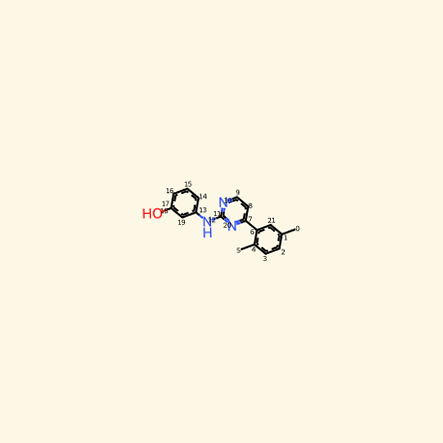 Cc1ccc(C)c(-c2ccnc(Nc3cccc(O)c3)n2)c1